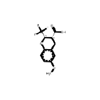 CSc1ccc2c(c1)C[C@@H](C(=O)O)[C@@H](C(F)(F)F)O2